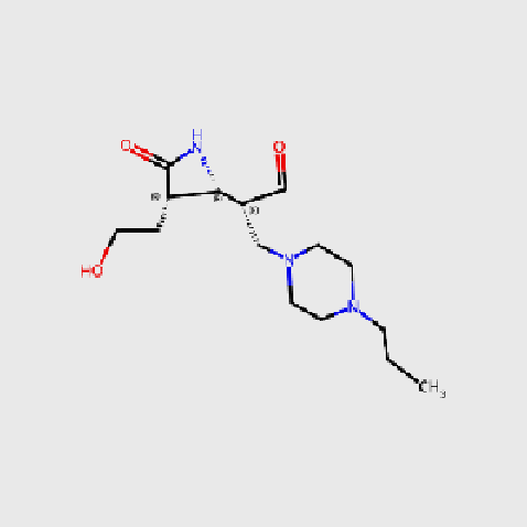 CCCN1CCN(C[C@@H](C=O)[C@H]2NC(=O)[C@H]2CCO)CC1